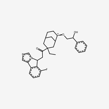 CCC1(C(=O)CC2c3c(F)cccc3-c3cncn32)CC2CC[C@@H](OCC(O)c3ccccc3)C(C2)C1